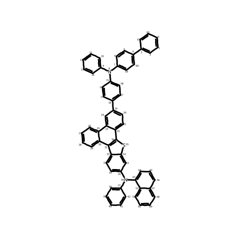 c1ccc(-c2ccc(N(c3ccccc3)c3ccc(-c4ccc5c(c4)c4ccccc4c4c6ccc(N(c7ccccc7)c7cccc8ccccc78)cc6sc54)cc3)cc2)cc1